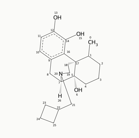 CC1CCC[C@@]2(O)[C@H]3Cc4ccc(O)c(O)c4[C@@]12CCN3CC1CCC1